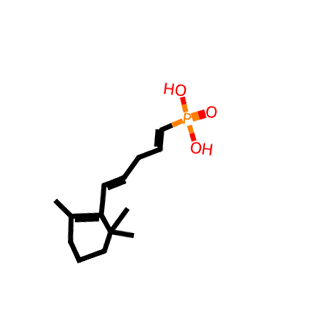 CC1=C(C=CCC=CP(=O)(O)O)C(C)(C)CCC1